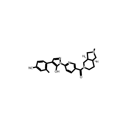 Cc1cc(C#N)ccc1-c1cnn(-c2ccc(C(=O)N3CC[C@@H]4CN(C)C[C@@H]4C3)cn2)c1O